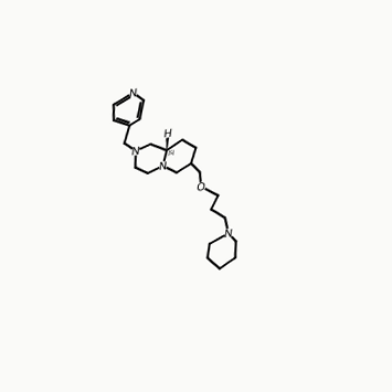 c1cc(CN2CCN3CC(COCCCN4CCCCC4)CC[C@H]3C2)ccn1